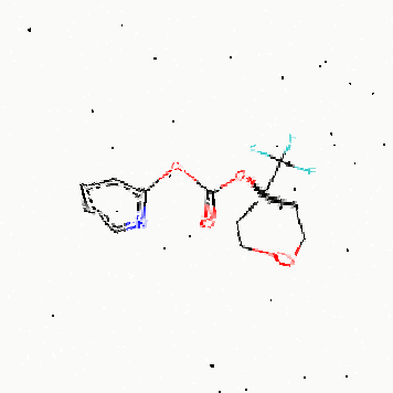 O=C(Oc1ccccn1)OC1(C(F)(F)F)CCOCC1